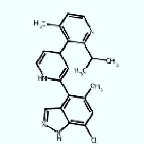 Cc1ccnc(C(C)C)c1C1C=CNC(c2c(C)cc(Cl)c3[nH]ncc23)=C1